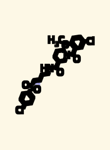 COc1ccc(Cl)cc1C(=O)N1CCCC(C(=O)NCC/C=C/S(=O)(=O)c2ccc(Cl)cc2)C1